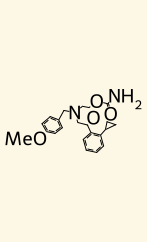 COc1ccc(CN(CCOC(N)=O)CC(=O)c2ccccc2C2CC2)cc1